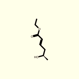 CCOC(=O)/C=C/C[C@@H](C)O